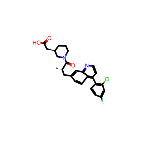 C[C@@H](Cc1ccc2c(-c3ccc(F)cc3Cl)ccnc2c1)C(=O)N1CCC[C@H](CC(=O)O)C1